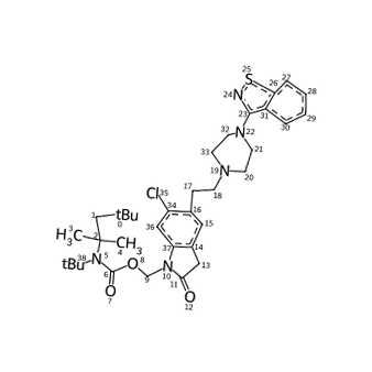 CC(C)(C)CC(C)(C)N(C(=O)OCN1C(=O)Cc2cc(CCN3CCN(c4nsc5ccccc45)CC3)c(Cl)cc21)C(C)(C)C